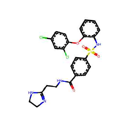 O=C(NCCC1=NCCN1)c1ccc(S(=O)(=O)Nc2ccccc2Oc2ccc(Cl)cc2Cl)cc1